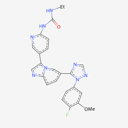 CCNC(=O)Nc1ccc(-c2cnc3ccc(-c4ncnn4-c4ccc(F)c(OC)c4)cn23)cn1